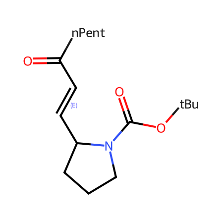 CCCCCC(=O)/C=C/C1CCCN1C(=O)OC(C)(C)C